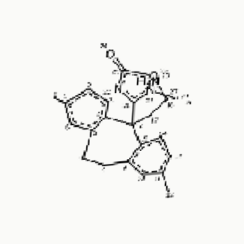 Cc1ccc2c(c1)CCc1cc(C)ccc1C2(C[C@@H](C)N)c1nc(=O)on1C